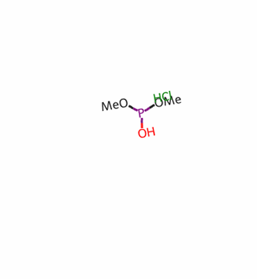 COP(O)OC.Cl